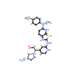 Cc1ccc(N(C)c2ccc3nc(Nc4cc(C(C=O)N5CC[C@H](N)C5)ccn4)sc3n2)cc1